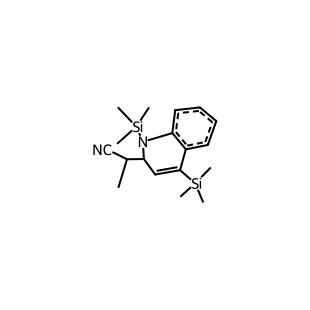 CC(C#N)C1C=C([Si](C)(C)C)c2ccccc2N1[Si](C)(C)C